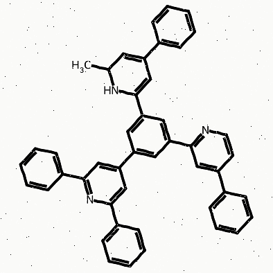 CC1C=C(c2ccccc2)C=C(c2cc(-c3cc(-c4ccccc4)nc(-c4ccccc4)c3)cc(-c3cc(-c4ccccc4)ccn3)c2)N1